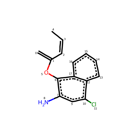 C=C(/C=C\C)Oc1c(N)cc(Cl)c2ccccc12